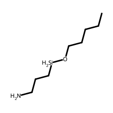 CCCCCO[SiH2]CCCN